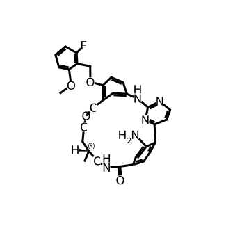 COc1cccc(F)c1COc1ccc2cc1COCC[C@@H](C)CNC(=O)c1ccc(c(N)c1)-c1ccnc(n1)N2